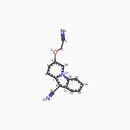 N#CCOc1ccc2c(C#N)c3ccccc3n2c1